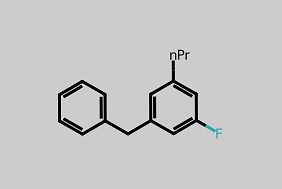 CCCc1cc(F)cc(Cc2ccccc2)c1